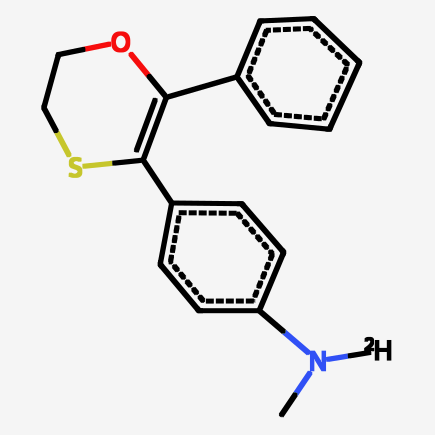 [2H]N(C)c1ccc(C2=C(c3ccccc3)OCCS2)cc1